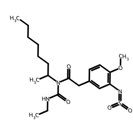 CCCCCCC(C)N(C(=O)Cc1ccc(OC)c(N=S(=O)=O)c1)C(=O)NCC